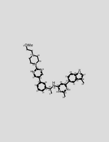 COCCN1CCN(c2ncc(-c3cccc([C@H](C)Nc4cc(-c5ccc6occ(C)c6c5)nc(C)n4)c3)cn2)CC1